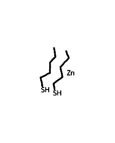 CCCCCS.CCCCCS.[Zn]